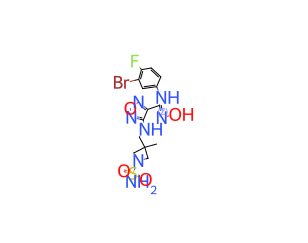 CC1(CNc2nonc2/C(=N/O)Nc2ccc(F)c(Br)c2)CN(S(N)(=O)=O)C1